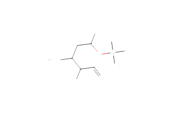 C=CC(C)C(CC(CC)O[Si](C)(C)C(C)(C)C)OC